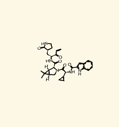 C=CC(=O)[C@H](C[C@@H]1CCNC1=O)NC(=O)[C@@H]1[C@@H]2[C@H](CN1C(=O)[C@@H](NC(=O)c1cc3ccccc3[nH]1)C1CC1)C2(C)C